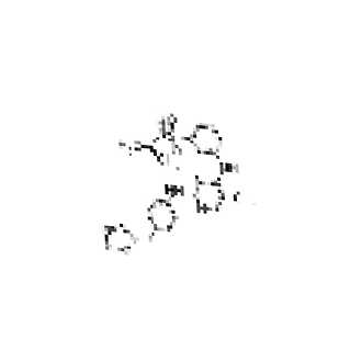 C=C(C)NS(=O)(=O)c1cccc(Nc2nc(Nc3ccc(Cn4ccnc4)cc3)ncc2C)c1